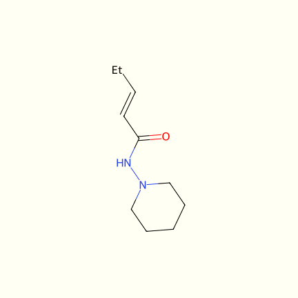 CCC=CC(=O)NN1CCCCC1